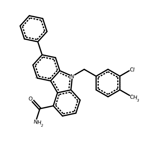 Cc1ccc(Cn2c3cc(-c4ccccc4)c[c]c3c3c(C(N)=O)cccc32)cc1Cl